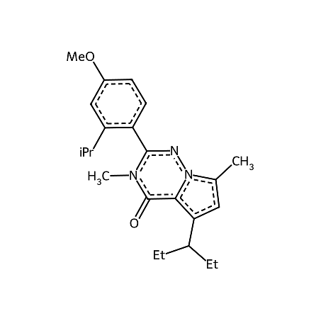 CCC(CC)c1cc(C)n2nc(-c3ccc(OC)cc3C(C)C)n(C)c(=O)c12